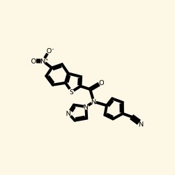 N#Cc1ccc(N(C(=O)c2cc3cc([N+](=O)[O-])ccc3s2)n2ccnc2)cc1